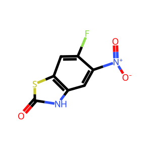 O=c1[nH]c2cc([N+](=O)[O-])c(F)cc2s1